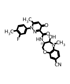 Cc1ccc(-n2nc(C(=O)N[C@H]3COc4cc(C#N)ccc4N(C)C3O)c(=O)cc2C)cc1F